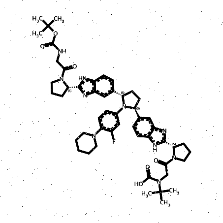 CC(C)(C)OC(=O)NCC(=O)N1CCC[C@H]1c1nc2cc([C@@H]3CC[C@@H](c4ccc5[nH]c([C@@H]6CCCN6C(=O)CN(C(=O)O)C(C)(C)C)nc5c4)N3c3ccc(N4CCCCC4)c(F)c3)ccc2[nH]1